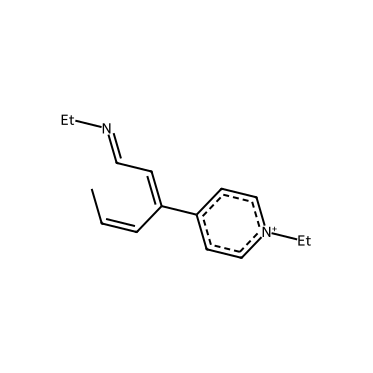 C\C=C/C(=C\C=N\CC)c1cc[n+](CC)cc1